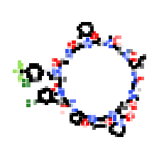 CC[C@H](C)[C@@H]1NC(=O)[C@H](C)N(C)C(=O)C[C@@H](C(=O)N2CCCCC2)N(C)C(=O)[C@H](C(C)C)N(C)C(=O)C2(CCCC2)NC(=O)[C@H](Cc2cccc(Cl)c2)N(C)C(=O)[C@H](CCc2ccc(C(F)(F)F)c(Cl)c2)NC(=O)CN(C)C(=O)[C@H](CC2CCCCC2)N(C)C(=O)CN(C)C(=O)CN(C)C1=O